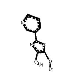 CCOc1sc(-c2cccnc2)nc1C(=O)O